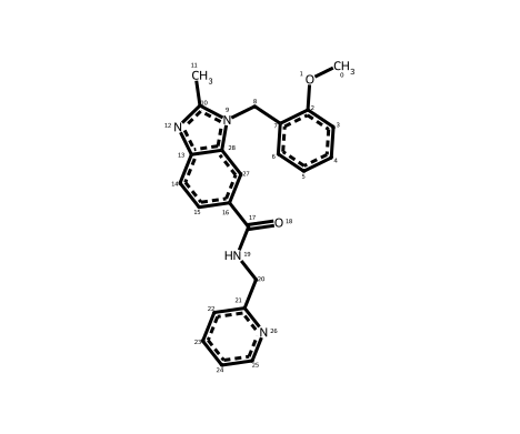 COc1ccccc1Cn1c(C)nc2ccc(C(=O)NCc3ccccn3)cc21